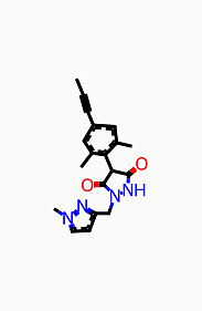 CC#Cc1cc(C)c(C2C(=O)NN(Cc3ccn(C)n3)C2=O)c(C)c1